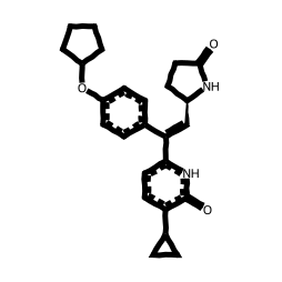 O=C1CC[C@H](/C=C(\c2ccc(OC3CCCC3)cc2)c2ccc(C3CC3)c(=O)[nH]2)N1